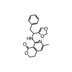 Cc1cc2c(c(NC(Cc3ccccc3)C3=COCO3)n1)C(=O)OCC2